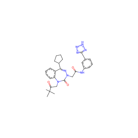 CC(C)(C)C(=O)CN1C(=O)N(CC(=O)Nc2cccc(-c3nn[nH]n3)c2)N=C(C2CCCC2)c2ccccc21